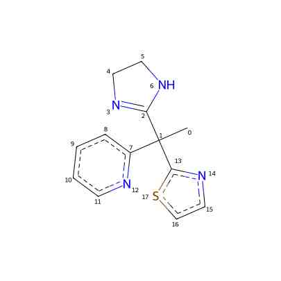 CC(C1=NCCN1)(c1ccccn1)c1nccs1